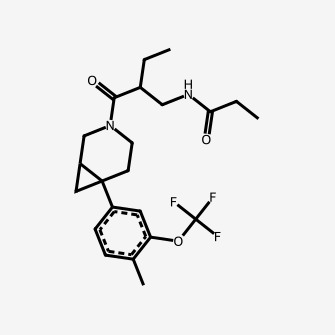 CCC(=O)NCC(CC)C(=O)N1CCC2(c3ccc(C)c(OC(F)(F)F)c3)CC2C1